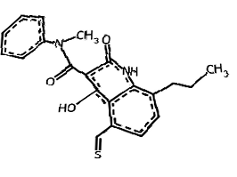 CCCc1ccc(C=S)c2c(O)c(C(=O)N(C)c3ccccc3)c(=O)[nH]c12